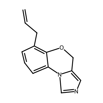 C=CCc1cccc2c1OCc1cncn1-2